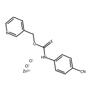 N#Cc1ccc(NC(=S)OCc2cccnc2)cc1.[Cl-].[Cl-].[Zn+2]